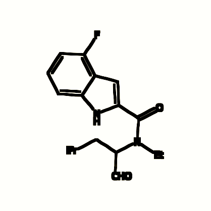 CCN(C(=O)c1cc2c(F)cccc2[nH]1)C(C=O)CC(C)C